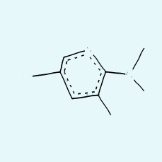 Cc1cc(O)cnc1N(C)C